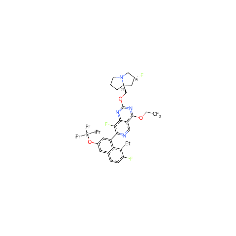 CCc1c(F)ccc2cc(O[Si](C(C)C)(C(C)C)C(C)C)cc(-c3ncc4c(OCC(F)(F)F)nc(OC[C@@]56CCCN5C[C@H](F)C6)nc4c3F)c12